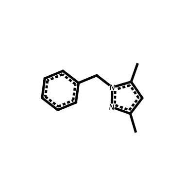 Cc1cc(C)n(Cc2ccccc2)n1